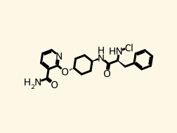 NC(=O)c1cccnc1O[C@H]1CC[C@H](NC(=O)[C@H](Cc2ccccc2)NCl)CC1